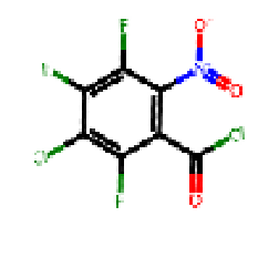 O=C(Cl)c1c(F)c(Cl)c(F)c(F)c1[N+](=O)[O-]